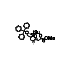 CON(C)C(=O)C[C@H](O[Si](C)(C)C(C)(C)C)[C@H](C)C=CCOC(c1ccccc1)(c1ccccc1)c1ccccc1